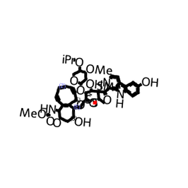 COC(=O)NC1C(=O)C[C@H](O)/C(=C/CS(C)=S)C2=C1C#C/C=C\C#C[C@@H]2OC1OC(C)C(SC)(C(=O)c2nccc3c2[nH]c2ccc(O)cc23)C(O)C1OC1CC(OC)C(OC(C)C)CO1